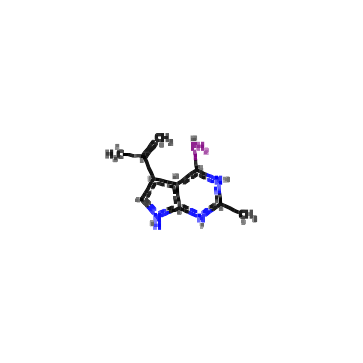 C=C(C)c1c[nH]c2nc(C)nc(P)c12